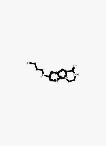 O=C1NCCn2c1cc1cc(OCCCCl)cnc12